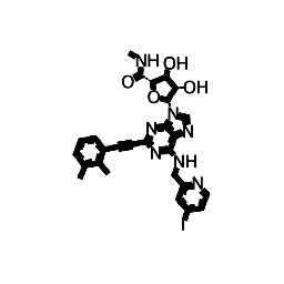 CNC(=O)[C@H]1O[C@@H](n2cnc3c(NCc4cc(I)ccn4)nc(C#Cc4cccc(C)c4C)nc32)[C@@H](O)C1O